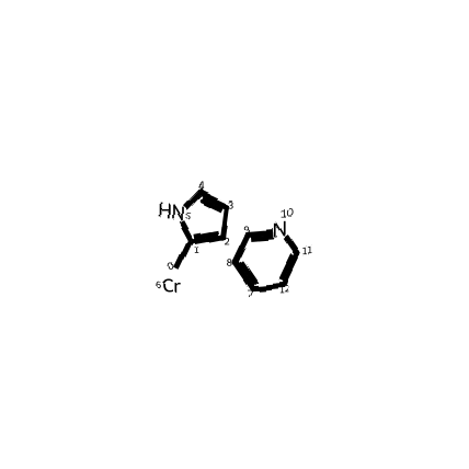 Cc1ccc[nH]1.[Cr].c1ccncc1